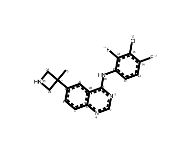 CC1(c2ccc3ncnc(Nc4ccc(F)c(Cl)c4F)c3c2)CNC1